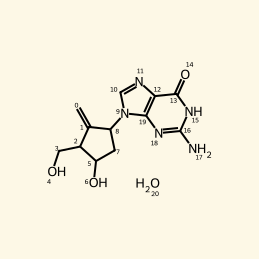 C=C1C(CO)C(O)CC1n1cnc2c(=O)[nH]c(N)nc21.O